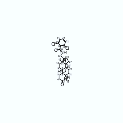 CN1C(=O)CC[C@]2(C)[C@H]3CC[C@]4(C)[C@@H](CNC(=O)c5c(Cl)cccc5Cl)CC[C@H]4[C@@H]3CC[C@@H]12